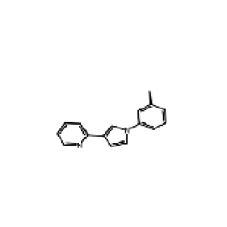 Cc1cccc(-n2ccc(-c3ccccn3)c2)c1